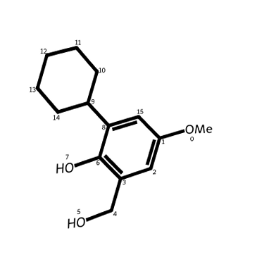 COc1cc(CO)c(O)c(C2CCCCC2)c1